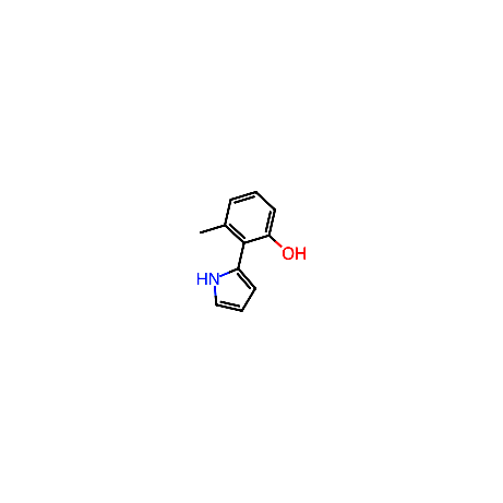 Cc1cccc(O)c1-c1ccc[nH]1